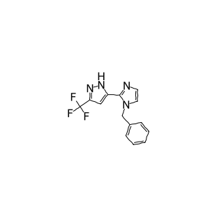 FC(F)(F)c1cc(-c2nccn2Cc2ccccc2)[nH]n1